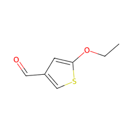 CCOc1cc(C=O)cs1